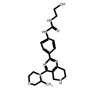 CC1COCCN1c1nc(-c2ccc(NC(=O)NCCO)cc2)nc2c1CNCC2